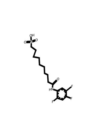 O=C(CCCCCCCCCS(=O)(=O)O)Nc1cc(F)c(F)cc1F